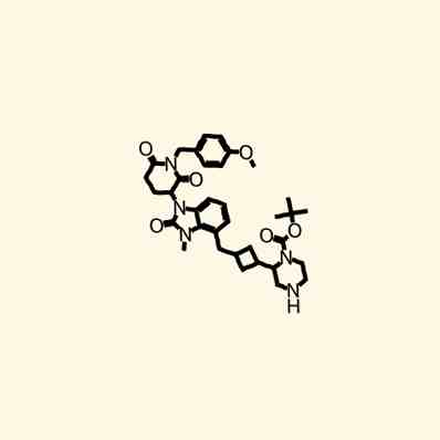 COc1ccc(CN2C(=O)CCC(n3c(=O)n(C)c4c(CC5CC(C6CNCCN6C(=O)OC(C)(C)C)C5)cccc43)C2=O)cc1